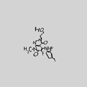 Cn1c(=O)c(F)c(Nc2ccc(I)cc2F)c2c(=O)n(CCCO)cnc21